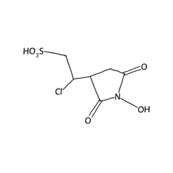 O=C1CC(C(Cl)CS(=O)(=O)O)C(=O)N1O